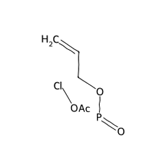 C=CCOP=O.CC(=O)OCl